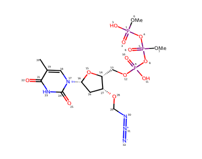 COP(=O)(O)OP(=O)(OC)OP(=O)(O)OC[C@H]1O[C@@H](n2cc(C)c(=O)[nH]c2=O)C[C@H]1OCN=[N+]=[N-]